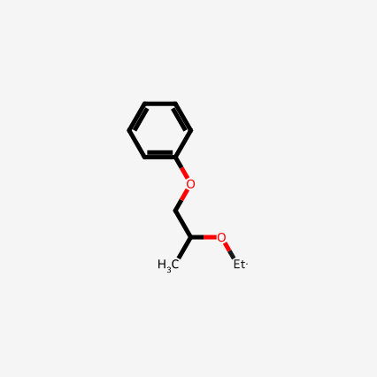 C[CH]OC(C)COc1ccccc1